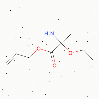 C=CCOC(=O)C(C)(N)OCC